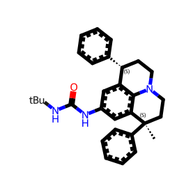 CC(C)(C)NC(=O)Nc1cc2c3c(c1)[C@](C)(c1ccccc1)CCN3CC[C@H]2c1ccccc1